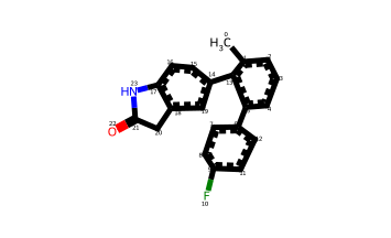 Cc1cccc(-c2ccc(F)cc2)c1-c1ccc2c(c1)CC(=O)N2